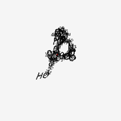 CC[C@H]1OC(=O)[C@H](C)[C@@H](O[C@H]2C[C@@](C)(OC)[C@@H](OCCCCCO)[C@H](C)O2)[C@H](C)[C@@H](O[C@@H]2O[C@H](C)C[C@H](N(C)C)[C@H]2OC(C)=O)[C@](C)(O)C[C@@H](C)CN(C)[C@H](C)[C@H]2OC(=O)O[C@@]21C